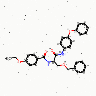 CCOc1ccc(C(=O)NC(COCc2ccccc2)C(=O)Nc2ccc(Oc3ccccc3)cc2)cc1